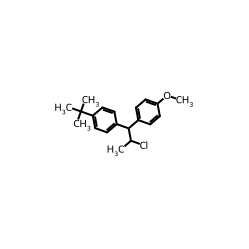 COc1ccc(C(c2ccc(C(C)(C)C)cc2)C(C)Cl)cc1